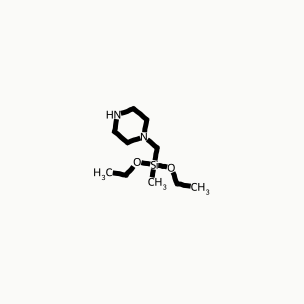 CCO[Si](C)(CN1CCNCC1)OCC